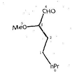 CCCCCC(C=O)OC